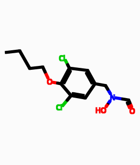 CCCCOc1c(Cl)cc(CN(O)C=O)cc1Cl